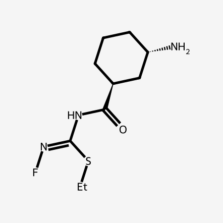 CCS/C(=N\F)NC(=O)[C@H]1CCC[C@H](N)C1